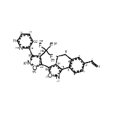 C=Cc1ccc2c(c1)CCc1c-2noc1-c1onc(-c2ccccn2)c1C(F)(F)F